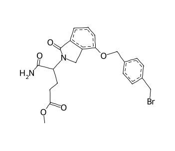 COC(=O)CCC(C(N)=O)N1Cc2c(OCc3ccc(CBr)cc3)cccc2C1=O